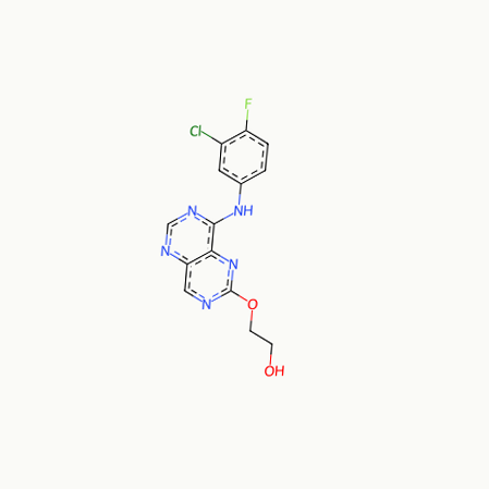 OCCOc1ncc2ncnc(Nc3ccc(F)c(Cl)c3)c2n1